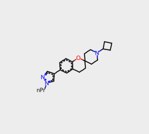 CCCn1cc(-c2ccc3c(c2)CCC2(CCN(C4CCC4)CC2)O3)cn1